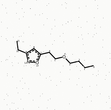 CCCCOCCc1cc(CC)no1